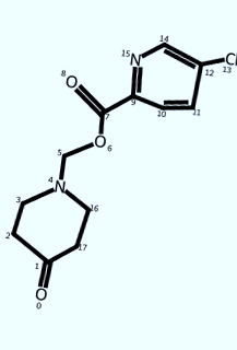 O=C1CCN(COC(=O)c2ccc(Cl)cn2)CC1